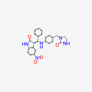 O=C1Nc2ccc([N+](=O)[O-])cc2C1=C(Nc1ccc(CN2CCNC2=O)cc1)c1ccccc1